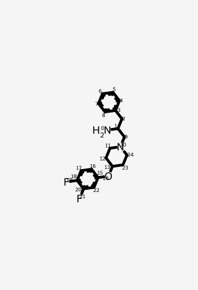 NC(Cc1ccccc1)CN1CCC(Oc2ccc(F)c(F)c2)CC1